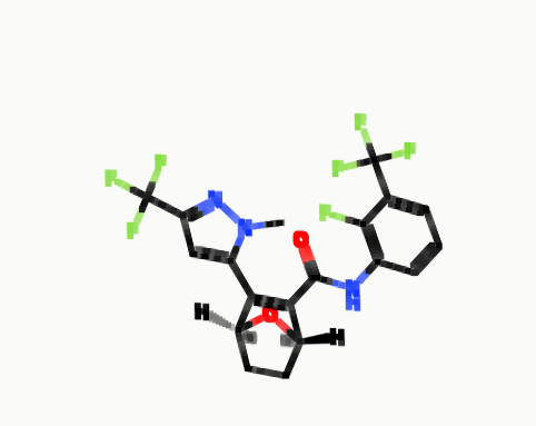 Cn1nc(C(F)(F)F)cc1C1=C(C(=O)Nc2cccc(C(F)(F)F)c2F)[C@@H]2CC[C@@H]1O2